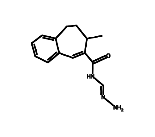 CC1CCc2ccccc2C=C1C(=O)NC=NN